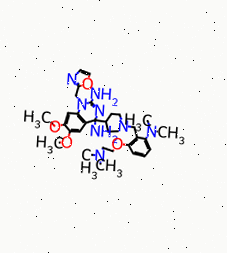 COc1cc2c(cc1OC)C(N)(C1CCN(Cc3c(OCCN(C)C)cccc3N(C)C)CC1)N=C(N)N2Cc1ncco1